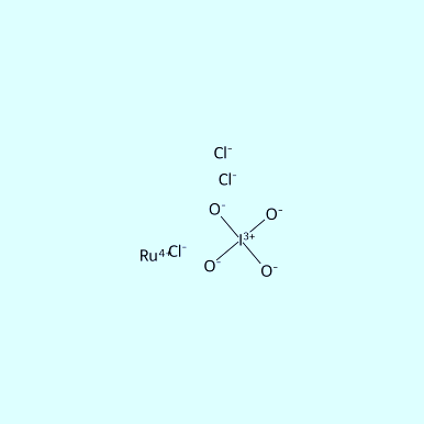 [Cl-].[Cl-].[Cl-].[O-][I+3]([O-])([O-])[O-].[Ru+4]